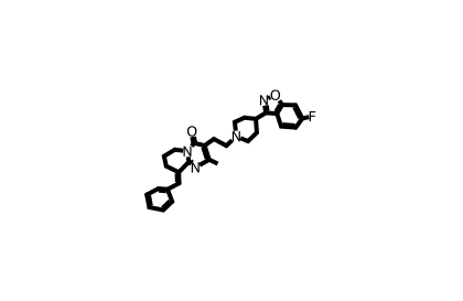 Cc1nc2n(c(=O)c1CCN1CCC(c3noc4cc(F)ccc34)CC1)CCC/C2=C\c1ccccc1